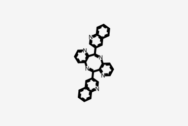 c1cnc2c(c1)/N=C(/c1cnc3ccccc3c1)c1ncccc1/N=C\2c1cnc2ccccc2c1